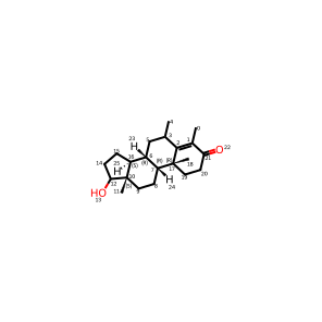 CC1=C2C(C)C[C@@H]3[C@@H](CC[C@]4(C)C(O)CC[C@@H]34)[C@@]2(C)CCC1=O